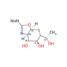 CNC1=N[C@@H]2[C@@H](O)[C@H](O)C([C@H](C)O)S[C@@H]2O1